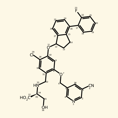 N#Cc1cncc(COc2cc(OC3CCc4c(-c5ccccc5F)cccc43)c(Cl)cc2CN[C@@H](CO)C(=O)O)c1